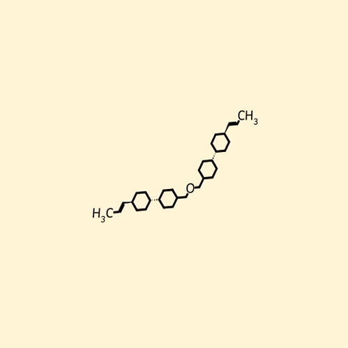 C/C=C/[C@H]1CC[C@H](C2CCC(COCC3CCC([C@H]4CC[C@H](/C=C/C)CC4)CC3)CC2)CC1